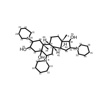 C[C@]12CC[C@@H]3[C@@H](CC(N4CCCCC4)C4(O)CC(O)C(N5CCCCC5)C[C@]34C)[C@@H]1CC(N1CCCCC1)C2O